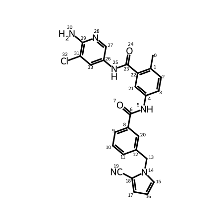 Cc1ccc(NC(=O)c2cccc(Cn3cccc3C#N)c2)cc1C(=O)Nc1cnc(N)c(Cl)c1